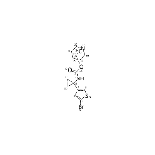 O=C(NC1(c2csc(Br)c2)CC1)OC1CN2CCC1CC2